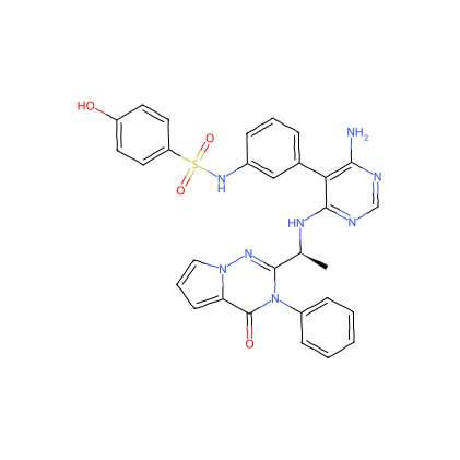 C[C@H](Nc1ncnc(N)c1-c1cccc(NS(=O)(=O)c2ccc(O)cc2)c1)c1nn2cccc2c(=O)n1-c1ccccc1